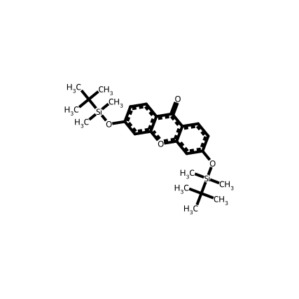 CC(C)(C)[Si](C)(C)Oc1ccc2c(=O)c3ccc(O[Si](C)(C)C(C)(C)C)cc3oc2c1